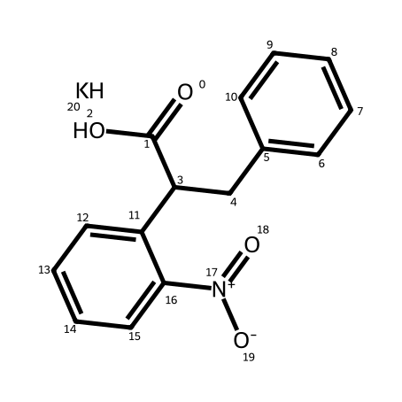 O=C(O)C(Cc1ccccc1)c1ccccc1[N+](=O)[O-].[KH]